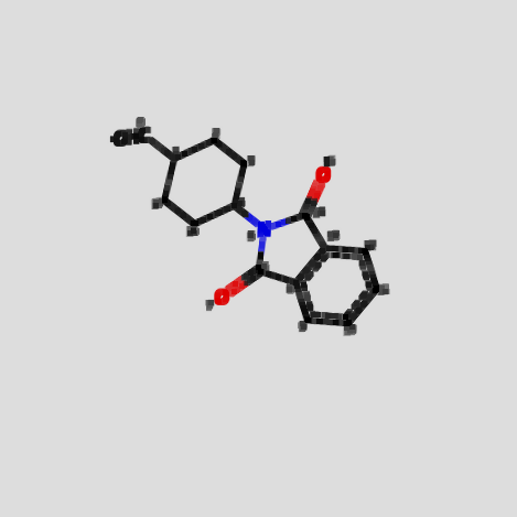 O=[C]C1CCC(N2C(=O)c3ccccc3C2=O)CC1